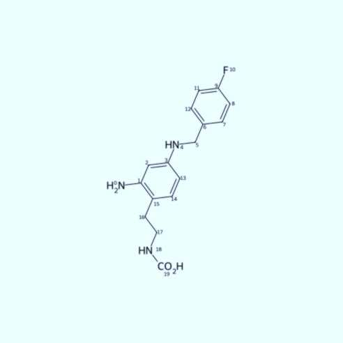 Nc1cc(NCc2ccc(F)cc2)ccc1CCNC(=O)O